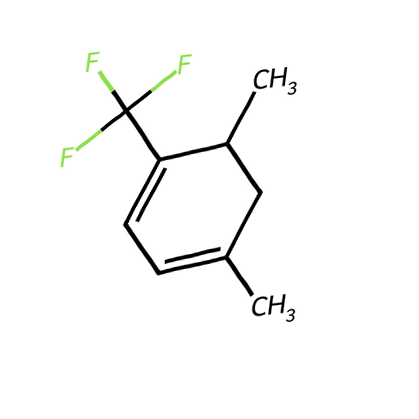 CC1=CC=C(C(F)(F)F)C(C)C1